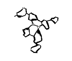 Cc1cncc(-c2ccc3c(c2)B2c4ccccc4-c4cc(-c5ccccc5)ccc4N2c2ccc(-c4ccccc4)cc2-3)c1